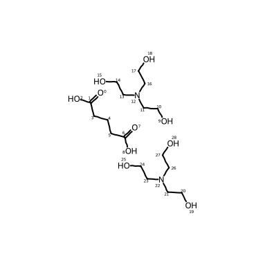 O=C(O)CCCC(=O)O.OCCN(CCO)CCO.OCCN(CCO)CCO